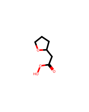 O=C(CC1CCCO1)OO